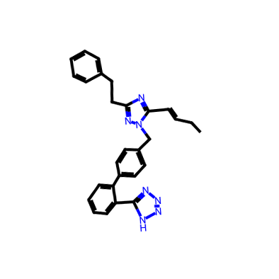 CCC=Cc1nc(CCc2ccccc2)nn1Cc1ccc(-c2ccccc2-c2nnn[nH]2)cc1